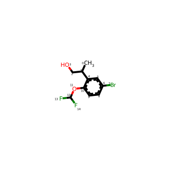 C[C](CO)c1cc(Br)ccc1OC(F)F